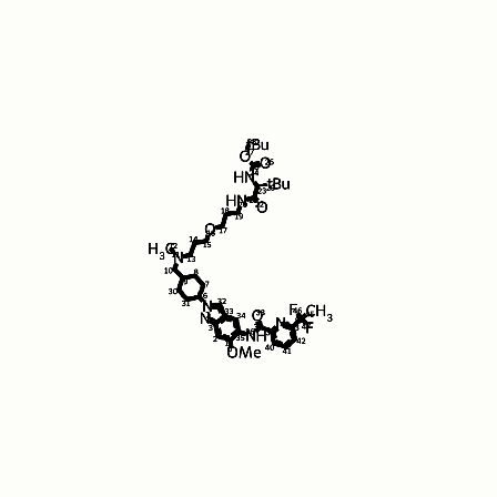 COc1cc2nn(C3CCC(CN(C)CCCOCCCNC(=O)[C@@H](NC(=O)OC(C)(C)C)C(C)(C)C)CC3)cc2cc1NC(=O)c1cccc(C(C)(F)F)n1